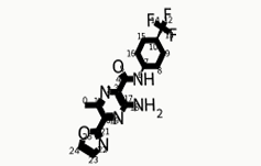 Cc1nc(C(=O)N[C@H]2CC[C@H](C(F)(F)F)CC2)c(N)nc1-c1ncco1